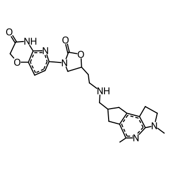 Cc1nc2c(c3c1CC(CNCCC1CN(c4ccc5c(n4)NC(=O)CO5)C(=O)O1)C3)CCN2C